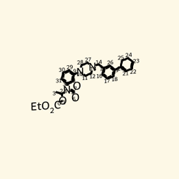 CCOC(=O)OC(C)n1c(=O)oc2c(N3CCN(Cc4cccc(C5=CC=CCC5)c4)CC3)cccc21